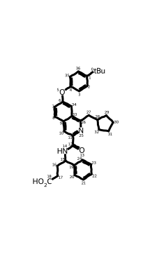 CC(C)(C)c1ccc(Oc2ccc3cc(C(=O)NC(CCC(=O)O)c4ccccc4)nc(CC4CCCC4)c3c2)cc1